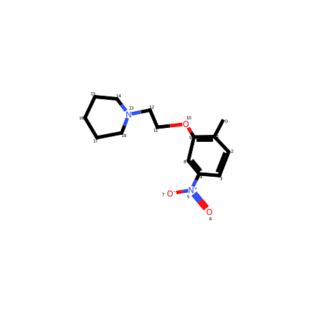 Cc1ccc([N+](=O)[O-])cc1OCCN1CCCCC1